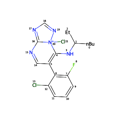 CCCCC(CC)NC1=C(c2c(F)cccc2Cl)C=NC2=NC=N[N+]21Cl